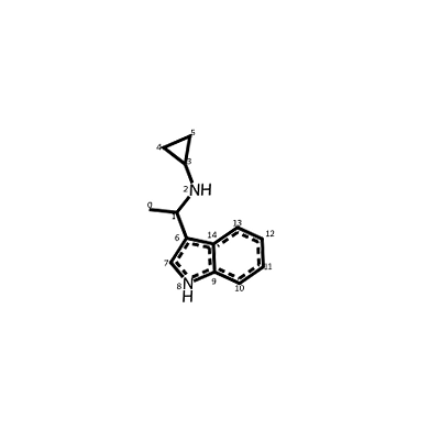 CC(NC1CC1)c1c[nH]c2ccccc12